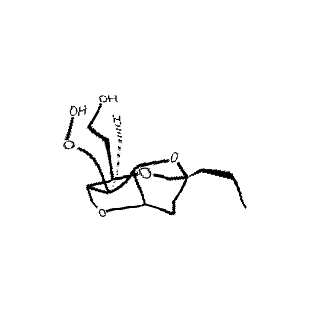 CC[C@@]12CC3OC(C(CO)O1)[C@@H](OO)C3O2